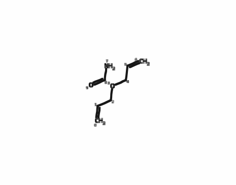 C=CCOCC=C.NC=O